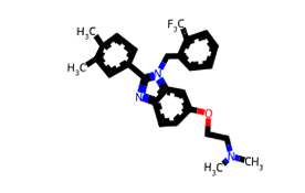 Cc1ccc(-c2nc3ccc(OCCN(C)C)cc3n2Cc2ccccc2C(F)(F)F)cc1C